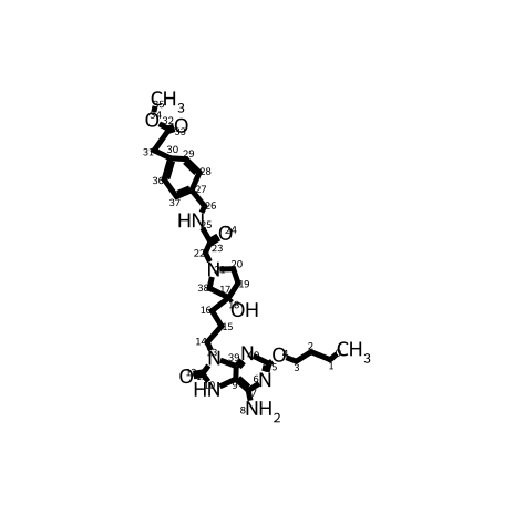 CCCCOc1nc(N)c2[nH]c(=O)n(CCC[C@@]3(O)CCN(CC(=O)NCc4ccc(CC(=O)OC)cc4)C3)c2n1